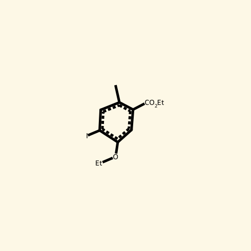 CCOC(=O)c1cc(OCC)c(I)cc1C